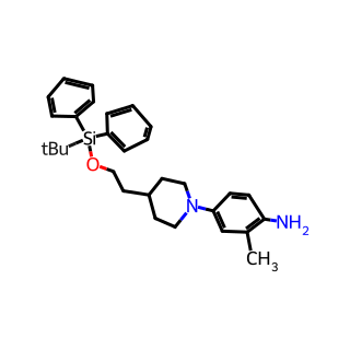 Cc1cc(N2CCC(CCO[Si](c3ccccc3)(c3ccccc3)C(C)(C)C)CC2)ccc1N